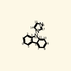 c1ccc2c(c1)c1ccccc1n2-n1ccnc1